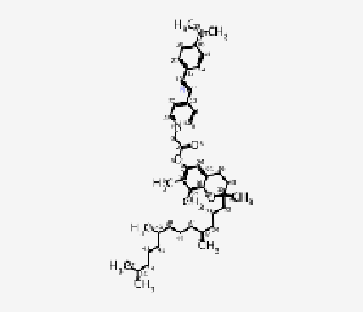 Cc1c(OC(=O)C[n+]2ccc(/C=C/c3ccc(N(C)C)cc3)cc2)cc2c(c1C)OC(C)(CCCC(C)CCCC(C)CCCC(C)C)CC2